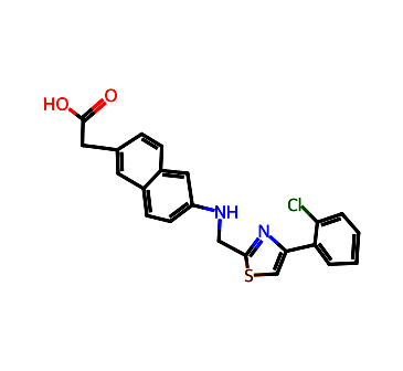 O=C(O)Cc1ccc2cc(NCc3nc(-c4ccccc4Cl)cs3)ccc2c1